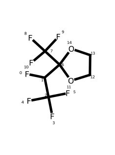 FC(C(F)(F)F)C1(C(F)(F)F)OCCO1